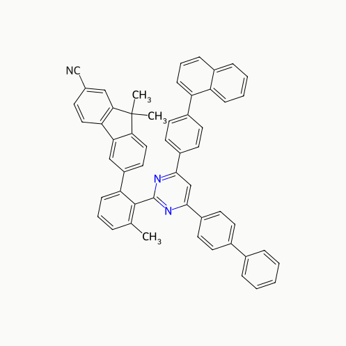 Cc1cccc(-c2ccc3c(c2)-c2ccc(C#N)cc2C3(C)C)c1-c1nc(-c2ccc(-c3ccccc3)cc2)cc(-c2ccc(-c3cccc4ccccc34)cc2)n1